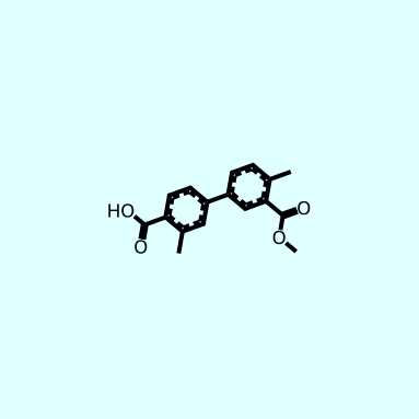 COC(=O)c1cc(-c2ccc(C(=O)O)c(C)c2)ccc1C